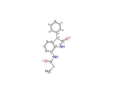 CCC(=O)Nc1cccc2c1NC(=O)C2c1ccccc1